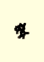 CN1CCC(=O)N1.Cc1ccc2[nH]nnc2c1